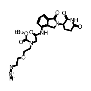 CC(C)(C)OC(=O)N(CCOCCN=[N+]=[N-])CC(=O)Nc1cccc2c1CN(C1CCC(=O)NC1=O)C2=O